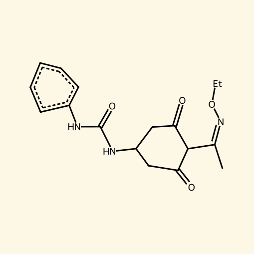 CCO/N=C(/C)C1C(=O)CC(NC(=O)Nc2ccccc2)CC1=O